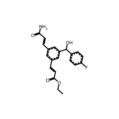 CCOC(=O)/C=C/c1cc(/C=C/C(N)=O)cc(C(O)c2ccc(F)cc2)c1